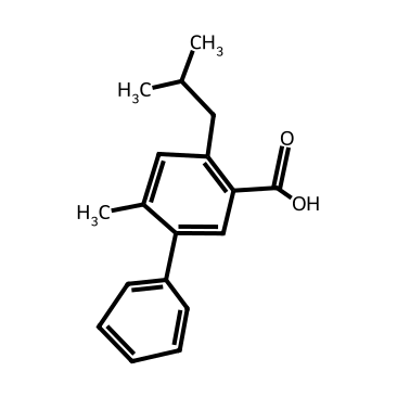 Cc1cc(CC(C)C)c(C(=O)O)cc1-c1ccccc1